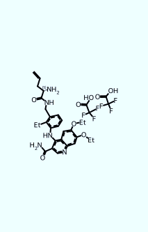 C=CC[C@H](N)C(=O)NCc1cccc(Nc2c(C(N)=O)cnc3cc(OCC)c(OCC)cc23)c1CC.O=C(O)C(F)(F)F.O=C(O)C(F)(F)F